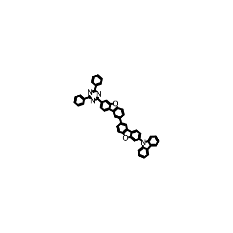 c1ccc(-c2nc(-c3ccccc3)nc(-c3ccc4c(c3)oc3ccc(-c5ccc6oc7cc(-n8c9ccccc9c9ccccc98)ccc7c6c5)cc34)n2)cc1